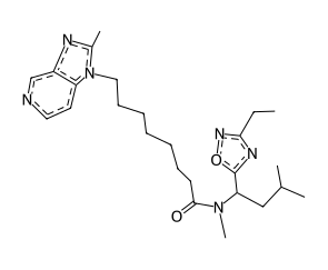 CCc1noc(C(CC(C)C)N(C)C(=O)CCCCCCCn2c(C)nc3cnccc32)n1